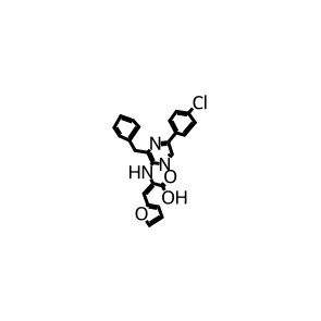 O=C(O)C(=Cc1ccco1)Nc1ncc(-c2ccc(Cl)cc2)nc1Cc1ccccc1